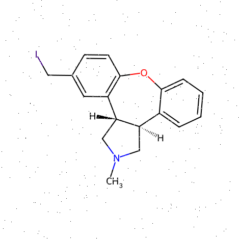 CN1C[C@@H]2c3ccccc3Oc3ccc(CI)cc3[C@H]2C1